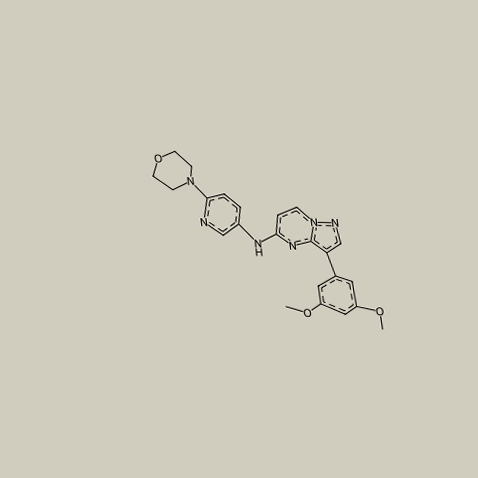 COc1cc(OC)cc(-c2cnn3ccc(Nc4ccc(N5CCOCC5)nc4)nc23)c1